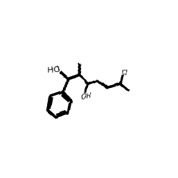 CC(Cl)CCC(O)C(C)C(O)c1ccccc1